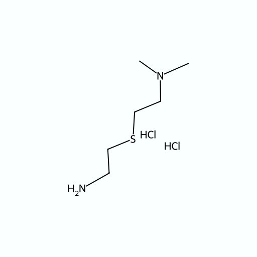 CN(C)CCSCCN.Cl.Cl